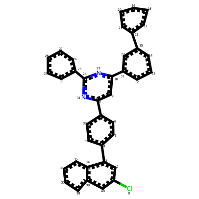 Clc1cc(-c2ccc(-c3cc(-c4cccc(-c5ccccc5)c4)nc(-c4ccccc4)n3)cc2)c2ccccc2c1